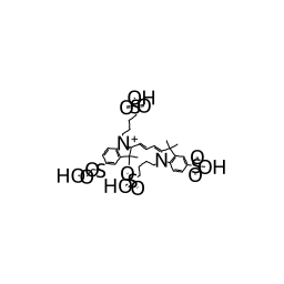 CC1(C)C(=CC=CC2=[N+](CCCCS(=O)(=O)O)c3ccc(SOOO)cc3C2(C)C)N(CCCCS(=O)(=O)O)c2ccc(S(=O)(=O)O)cc21